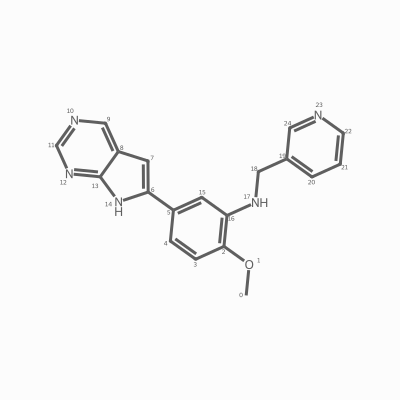 COc1ccc(-c2cc3cncnc3[nH]2)cc1NCc1cccnc1